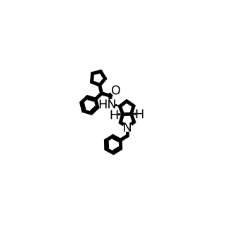 O=C(N[C@H]1CC[C@@H]2CN(Cc3ccccc3)C[C@@H]21)C(c1ccccc1)C1CCCC1